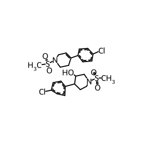 CS(=O)(=O)N1CC=C(c2ccc(Cl)cc2)CC1.CS(=O)(=O)N1CCC(c2ccc(Cl)cc2)C(O)C1